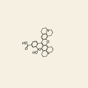 O=C(O)c1ccc(C2=c3cc4c5c(c3Oc3c2cc2c6c3CCCN6CCC2)CCC[N+]=5CCC4)c(C(=O)O)c1